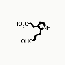 O=C/C=C/Cc1[nH]ccc1CCC(=O)O